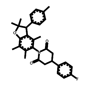 Cc1ccc(C2c3c(C)c(N4C(=O)CC(c5ccc(F)cc5)CC4=O)c(C)c(C)c3OC2(C)C)cc1